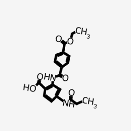 CCOC(=O)c1ccc(C(=O)Nc2cc(NC(=O)CC)ccc2C(=O)O)cc1